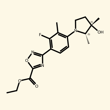 CCOC(=O)c1nc(-c2ccc(N3CC[C@](C)(O)[C@@H]3C)c(C)c2F)no1